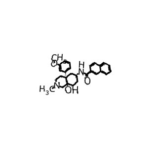 COc1cccc([C@@]23CCN(C)C[C@@]2(O)CC[C@H](NC(=O)c2ccc4ccccc4c2)C3)c1